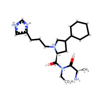 C[C@H](N)C(=O)N(CC(=O)O)C(=O)[C@@H]1CC(C2CCCCC2)CN1CCCc1c[nH]cn1